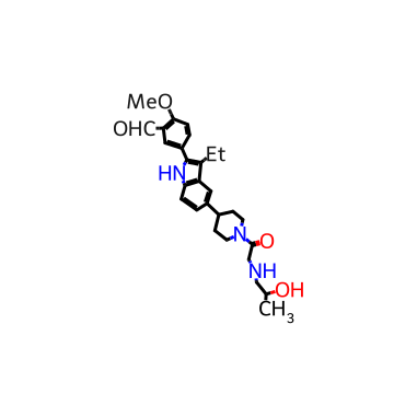 CCc1c(-c2ccc(OC)c(C=O)c2)[nH]c2ccc(C3CCN(C(=O)CNCC(C)O)CC3)cc12